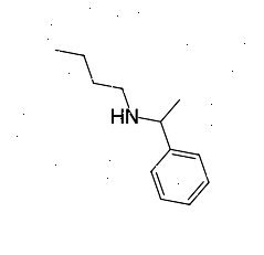 CCCCNC(C)c1ccccc1